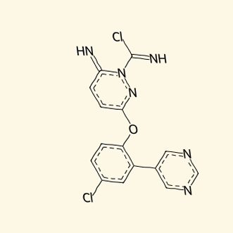 N=C(Cl)n1nc(Oc2ccc(Cl)cc2-c2cncnc2)ccc1=N